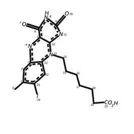 Cc1cc2nc3c(=O)[nH]c(=O)nc-3n(CCCCCCC(=O)O)c2cc1I